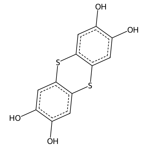 Oc1cc2c(cc1O)Sc1cc(O)c(O)cc1S2